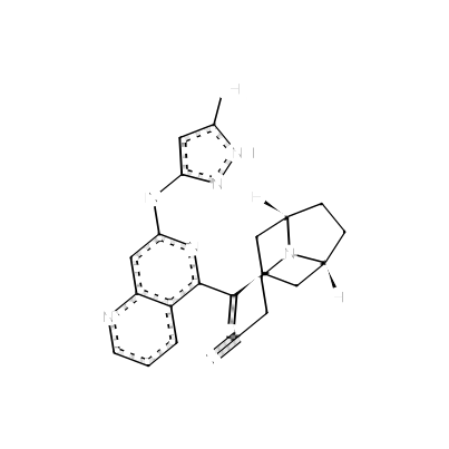 Cc1cc(Nc2cc3ncccc3c(C(=O)[C@@H]3C[C@H]4CC[C@@H](C3)N4CCC#N)n2)n[nH]1